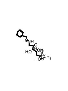 C[PH](=O)C(O)C[C@@H](O)[C@@H](O)[C@@H](O)CNOCc1ccccc1